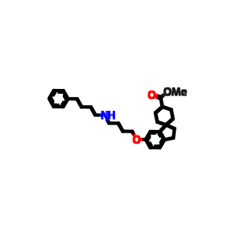 COC(=O)C1CCC2(CCc3ccc(OCCCCNCCCCc4ccccc4)cc32)CC1